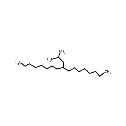 CCCCCCCCC(CCCCCCCC)CC(C)N